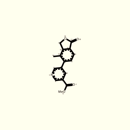 COC(=O)c1cncc(-c2ccc3c(c2C)COC3=O)c1